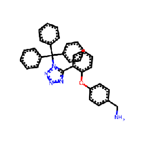 NCc1ccc(Oc2ccccc2-c2nnnn2C(c2ccccc2)(c2ccccc2)c2ccccc2)cc1